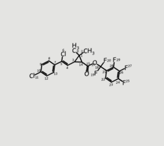 CC1(C)C(C=C(Cl)c2ccc(Cl)cc2)C1C(=O)OC(F)(F)c1ccc(F)c(F)c1F